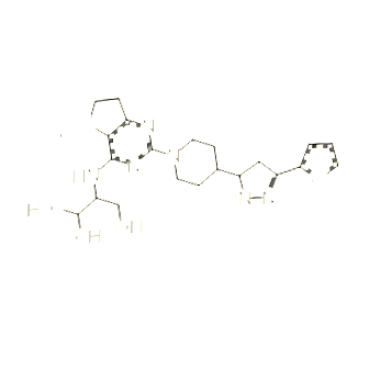 CC(C)C(CO)Nc1nc(N2CCC(C3CC(c4ccco4)=NN3)CC2)nc2c1[S+]([O-])CC2